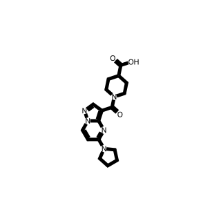 O=C(O)C1CCN(C(=O)c2cnn3ccc(N4CCCC4)nc23)CC1